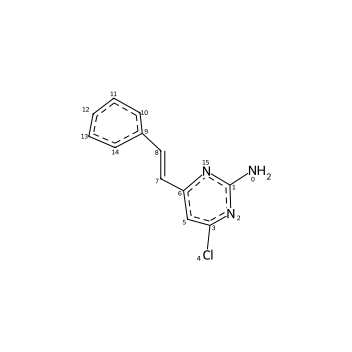 Nc1nc(Cl)cc(C=Cc2ccccc2)n1